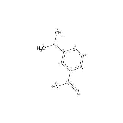 CC(C)c1cccc(C([NH])=O)c1